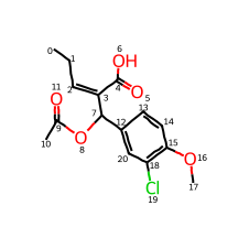 CCC=C(C(=O)O)C(OC(C)=O)c1ccc(OC)c(Cl)c1